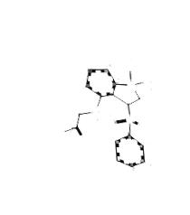 O=C(O)COc1cccc2c1C(S(=O)(=O)c1ccccc1)CS2(O)O